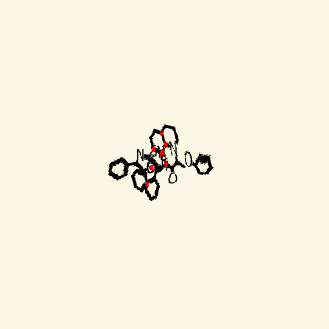 O=C(C(COc1ccccc1)N1CCCC[C@@H]1c1nc(-c2ccccc2)cs1)C(COc1ccccc1)N1CCCC[C@@H]1c1nc(-c2ccccc2)cs1